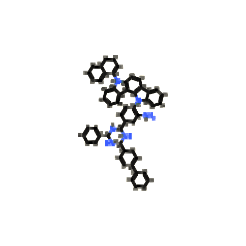 Nc1cc(C2=NC(c3ccccc3)NC(c3ccc(-c4ccccc4)cc3)N2)ccc1-n1c2ccccc2c2ccc3c(c4ccccc4n3-c3cccc4ccccc34)c21